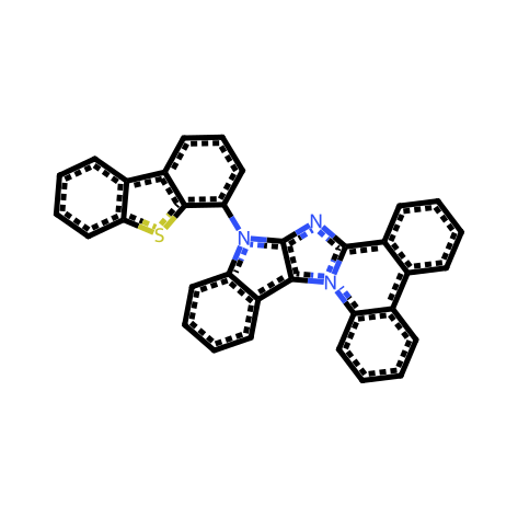 c1ccc2c(c1)sc1c(-n3c4ccccc4c4c3nc3c5ccccc5c5ccccc5n34)cccc12